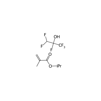 C=C(C)C(=O)OC(C)C.OC(F)(C(F)F)C(F)(F)F